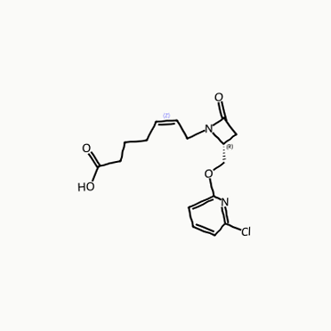 O=C(O)CCC/C=C\CN1C(=O)C[C@@H]1COc1cccc(Cl)n1